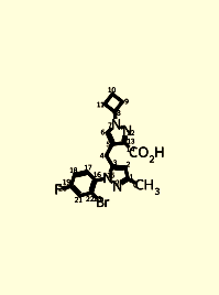 Cc1cc(Cc2cn(C3CCC3)nc2C(=O)O)n(-c2ccc(F)cc2Br)n1